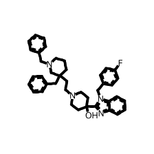 OC1(c2nc3ccccc3n2Cc2ccc(F)cc2)CCN(CCC2(Cc3ccccc3)CCCN(Cc3ccccc3)C2)CC1